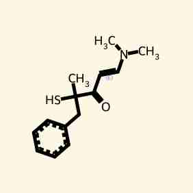 CN(C)/C=C/C(=O)C(C)(S)Cc1ccccc1